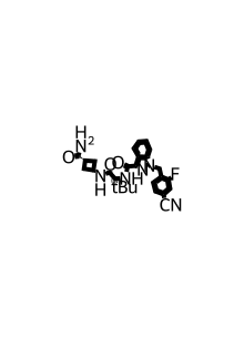 CC(C)(C)[C@H](NC(=O)c1nn(Cc2ccc(C#N)cc2F)c2ccccc12)C(=O)N[C@H]1C[C@@H](C(N)=O)C1